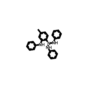 Cc1ccc(N(Nc2ccccc2)Nc2ccccc2)c(Nc2ccccc2)c1